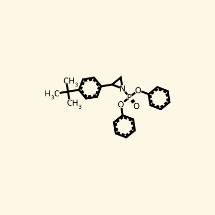 CC(C)(C)c1ccc(C2CN2P(=O)(Oc2ccccc2)Oc2ccccc2)cc1